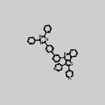 c1ccc(-c2nc(-c3ccccc3)nc(-c3ccc(-c4cccc(-c5nc6ccccc6c6sc(-c7ccncc7)c(-c7ccncc7)c56)c4)cc3)n2)cc1